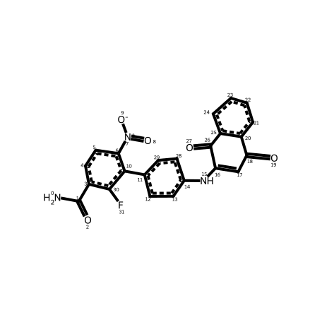 NC(=O)c1ccc([N+](=O)[O-])c(-c2ccc(NC3=CC(=O)c4ccccc4C3=O)cc2)c1F